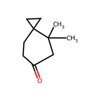 CC1(C)CC(=O)CCC12CC2